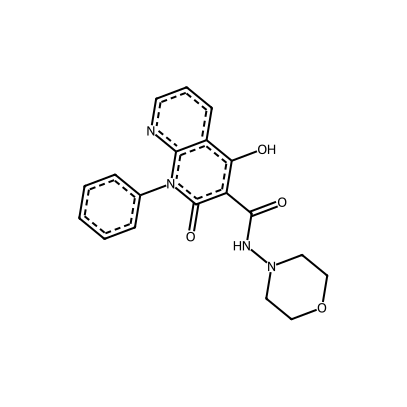 O=C(NN1CCOCC1)c1c(O)c2cccnc2n(-c2ccccc2)c1=O